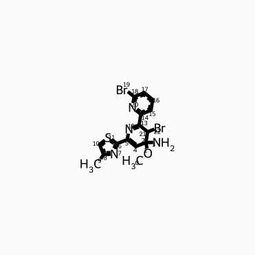 COC1(N)C=C(c2nc(C)cs2)N=C(c2cccc(Br)n2)C1Br